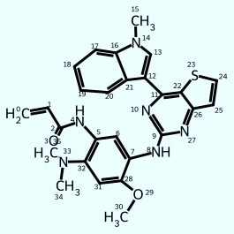 C=CC(=O)Nc1cc(Nc2nc(-c3cn(C)c4ccccc34)c3sccc3n2)c(OC)cc1N(C)C